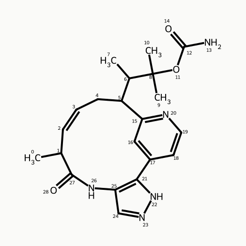 CC1C=CCC(C(C)C(C)(C)OC(N)=O)c2cc(ccn2)-c2[nH]ncc2NC1=O